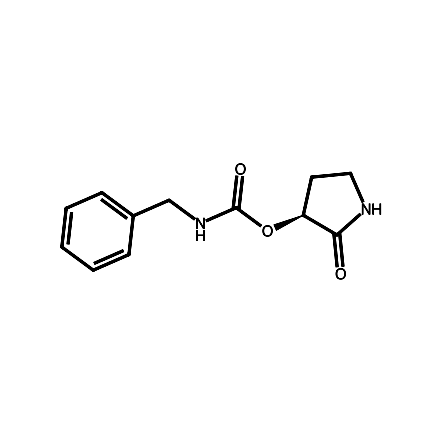 O=C(NCc1ccccc1)O[C@H]1CCNC1=O